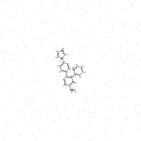 Nc1ncc(-c2ccc(-n3ccnc3)cc2)c(-c2ccccn2)n1